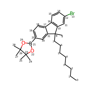 CCCCCCCCC1(C)c2cc(Br)ccc2-c2ccc(B3OC(C)(C)C(C)(C)O3)cc21